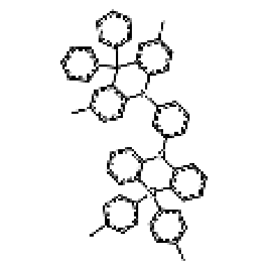 Cc1ccc([Si]2(c3ccc(C)cc3)c3ccccc3N(c3cccc(N4c5ccc(C)cc5C(c5ccccc5)(c5ccccc5)c5cc(C)ccc54)c3)c3ccccc32)cc1